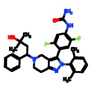 Cc1cccc(C)c1-n1nc2c(c1-c1cc(F)c(NC(N)=O)cc1F)CN(C(CC(C)(C)O)c1ccccc1)CC2